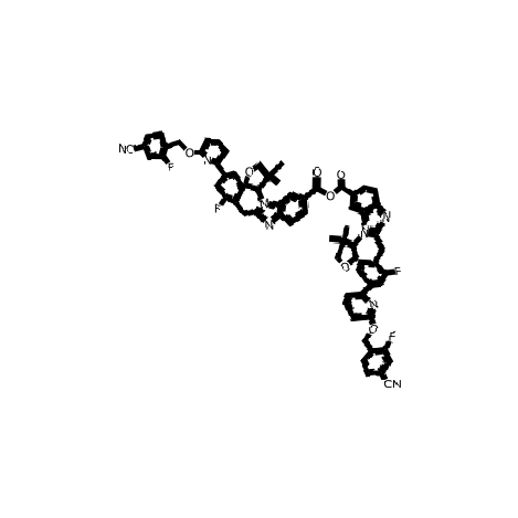 CC1(C)COCC1n1c(Cc2ccc(-c3cccc(OCc4ccc(C#N)cc4F)n3)cc2F)nc2ccc(C(=O)OC(=O)c3ccc4nc(Cc5ccc(-c6cccc(OCc7ccc(C#N)cc7F)n6)cc5F)n(C5COCC5(C)C)c4c3)cc21